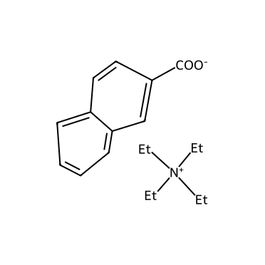 CC[N+](CC)(CC)CC.O=C([O-])c1ccc2ccccc2c1